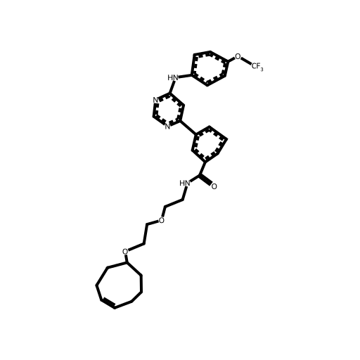 O=C(NCCOCCOC1CC/C=C\CCC1)c1cccc(-c2cc(Nc3ccc(OC(F)(F)F)cc3)ncn2)c1